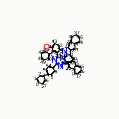 c1ccc(-c2ccc(-c3nc(-c4ccc5ccccc5c4)nc(-c4c(-n5c6ccccc6c6cc7ccccc7cc65)ccc5oc6ccccc6c45)n3)cc2)cc1